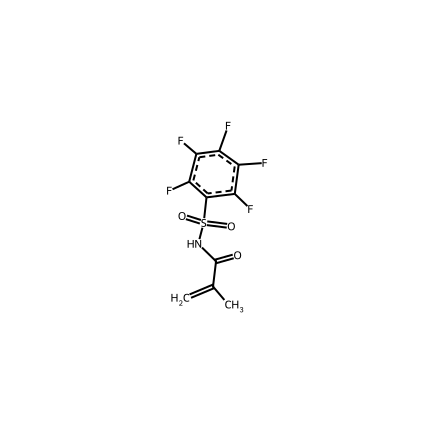 C=C(C)C(=O)NS(=O)(=O)c1c(F)c(F)c(F)c(F)c1F